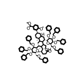 COC(=O)c1ccc(OC)c([C@@H]2CC[C@]3(C)C4C[C@@H]([C@@H]5O[C@H](COCc6ccccc6)[C@@H](OCc6ccccc6)[C@H](OCc6ccccc6)[C@H]5OCc5ccccc5)[C@@]5(C)C(CC[C@@H]5[C@H](C)CCC(=O)O)C4[C@@H](C4O[C@H](COCc5ccccc5)[C@@H](OCc5ccccc5)[C@H](OCc5ccccc5)[C@H]4OCc4ccccc4)C[C@@H]3C2)c1